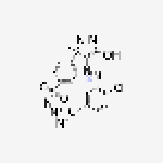 CC1(c2ccc(S(=O)(=O)N=[N+]=[N-])cc2)N=NC(O)=C1/N=N/c1cc(Cl)ccc1Cl